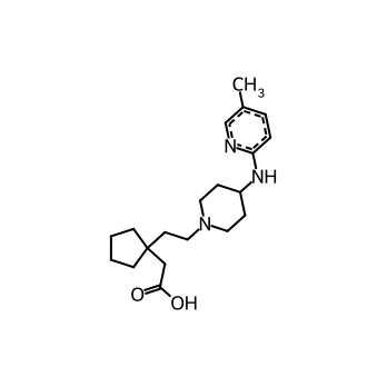 Cc1ccc(NC2CCN(CCC3(CC(=O)O)CCCC3)CC2)nc1